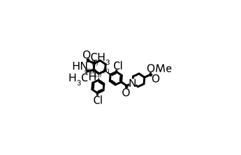 COC(=O)C1CCN(C(=O)c2ccc([C@@H]3CC[C@@]4(C)C(=O)N[C@H](C)[C@H]4[C@H]3c3ccc(Cl)cc3)c(Cl)c2)CC1